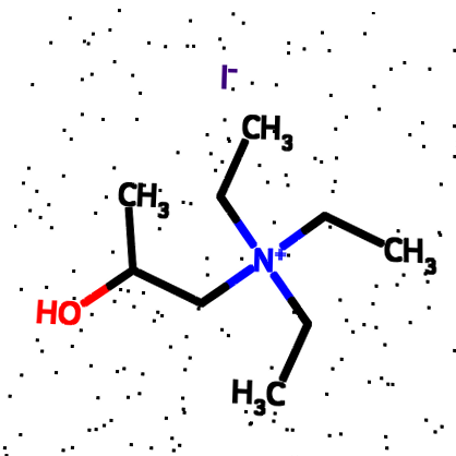 CC[N+](CC)(CC)CC(C)O.[I-]